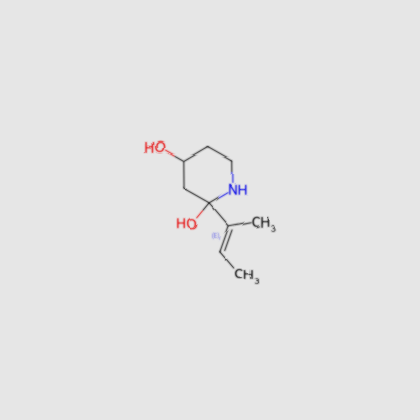 C/C=C(\C)C1(O)CC(O)CCN1